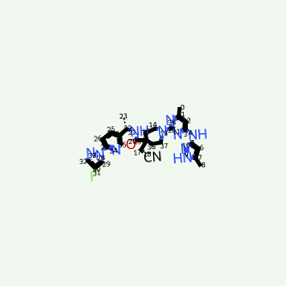 Cc1cc(Nc2cc(C)[nH]n2)nc(N2CCC(CC#N)(C(=O)N[C@@H](C)c3ccc(-n4cc(F)cn4)nc3)CC2)n1